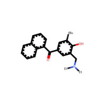 CCN(CC)Cc1cc(C(=O)c2cccc3ccccc23)cc(C(C)(C)C)c1O